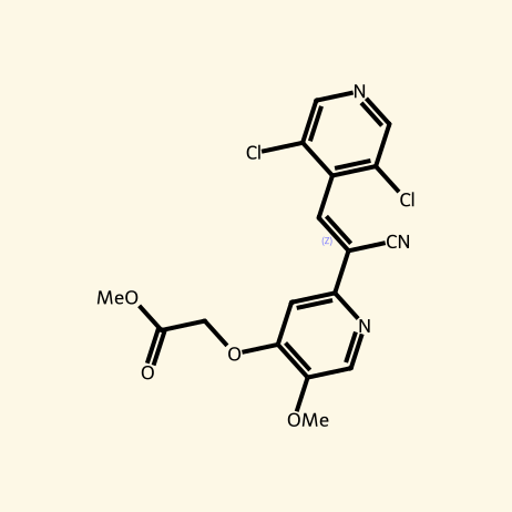 COC(=O)COc1cc(/C(C#N)=C/c2c(Cl)cncc2Cl)ncc1OC